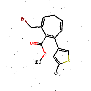 CC(C)(C)OC(=O)C1=C(c2csc(C(F)(F)F)c2)C=CCC=C1CBr